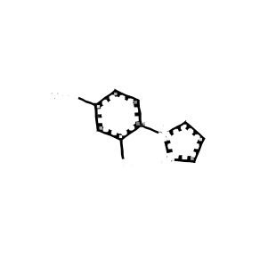 COc1ccc(-n2cccn2)c(C(C)(C)C)c1